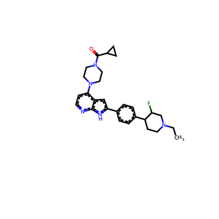 CCN1CCC(c2ccc(-c3cc4c(N5CCN(C(=O)C6CC6)CC5)ccnc4[nH]3)cc2)C(F)C1